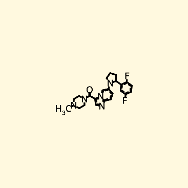 CN1CCN(C(=O)c2cnc3ccc(N4CCCC4c4cc(F)ccc4F)cn23)CC1